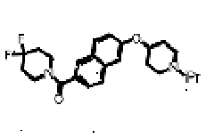 CC(C)N1CCC(Oc2ccc3cc(C(=O)N4CCC(F)(F)CC4)ccc3c2)CC1